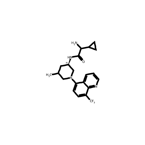 CC1C[C@@H](NC(=O)C(N)C2CC2)CN(c2ccc(C(F)(F)F)c3ncccc23)C1